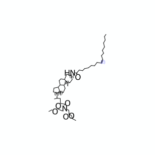 CCCCCCCC/C=C\CCCCCCCC(=O)N[C@H]1CC[C@@]2(C)C(CCC3C2CC[C@@]2(C)C3CC[C@@H]2C(C)CCC(=O)N(CC(=O)OCC)CC(=O)OCC)C1